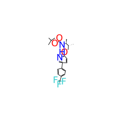 C[C@H](COc1ccc(-c2ccc(C(F)(F)F)cc2)cn1)[C@H](C)NC(=O)OC(C)(C)C